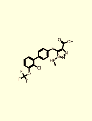 CPn1nnc(C(=O)O)c1Sc1ccc(-c2cccc(OC(F)(F)F)c2Cl)cc1